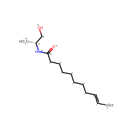 CCCCCCCC/C=C/CCCCCCCC(=O)N[C@@H](CO)C(=O)O